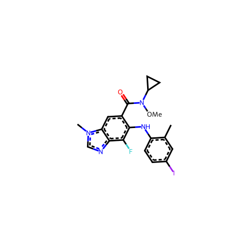 CON(C(=O)c1cc2c(ncn2C)c(F)c1Nc1ccc(I)cc1C)C1CC1